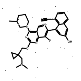 C#Cc1cccc2cc(O)cc(-c3ncc4c(N5CCCC(C)C5)nc(OCC5(CN(C)C)CC5)nc4c3F)c12